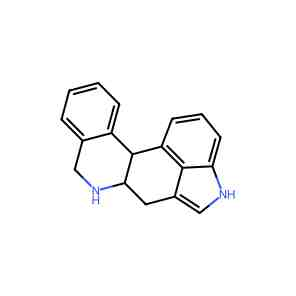 c1ccc2c(c1)CNC1Cc3c[nH]c4cccc(c34)C21